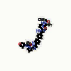 COC(=O)N[C@H](C(=O)N1CCCC1c1ncc(-c2ccc(-c3ccc(-c4cnc([C@@H]5CCCN5C(=O)[C@@H](NC5CCOCC5)C(C)C)[nH]4)cc3)cc2)[nH]1)C(C)C